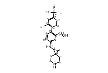 Cc1nc(NC2CC23CCNCC3)ncc1-c1ccc(C(F)(F)F)cc1F.Cl